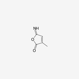 CC1=CC(=N)OC1=O